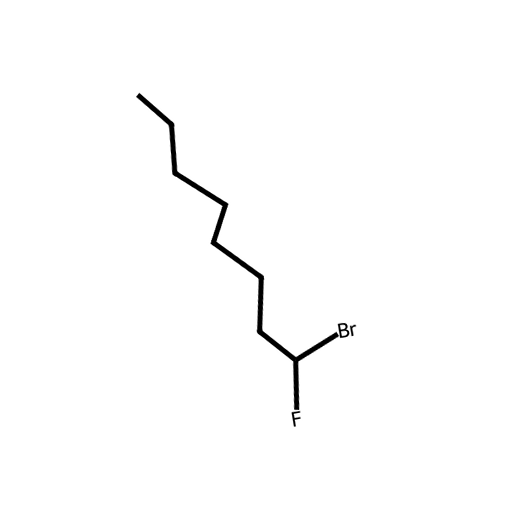 CCCCCCCC(F)Br